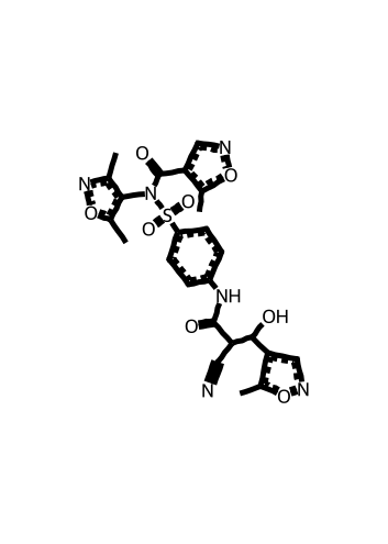 Cc1noc(C)c1N(C(=O)c1cnoc1C)S(=O)(=O)c1ccc(NC(=O)C(C#N)C(O)c2cnoc2C)cc1